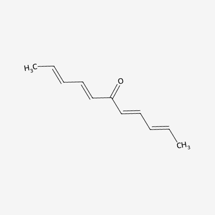 CC=CC=CC(=O)C=CC=CC